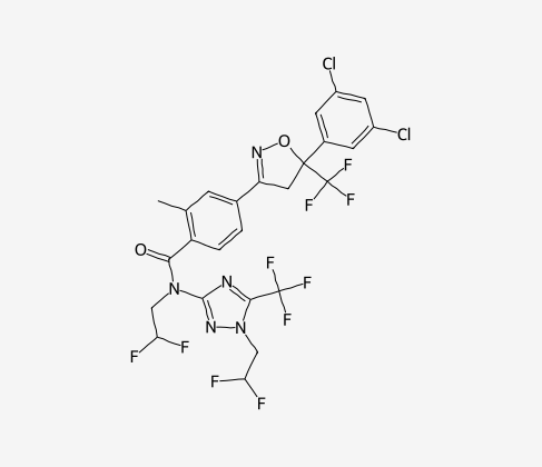 Cc1cc(C2=NOC(c3cc(Cl)cc(Cl)c3)(C(F)(F)F)C2)ccc1C(=O)N(CC(F)F)c1nc(C(F)(F)F)n(CC(F)F)n1